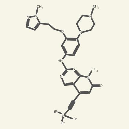 CC(C)[Si](C#Cc1cc(=O)n(C)c2nc(Nc3ccc(N4CCN(C)CC4)c(OCCc4ccnn4C)c3)ncc12)(C(C)C)C(C)C